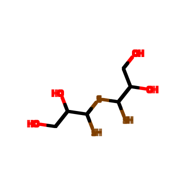 OCC(O)C(S)SC(S)C(O)CO